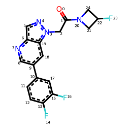 O=C(Cn1ncc2ncc(-c3ccc(F)c(F)c3)cc21)N1CC(F)C1